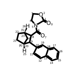 O=C1OCCN1C(=O)C1C(c2ccc3ccccc3c2)[C@@H]2CC[C@H]1C2